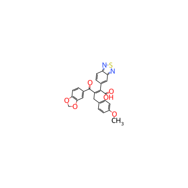 COc1ccc(C/C(C(=O)c2ccc3c(c2)OCO3)=C(\C(=O)O)c2ccc3nsnc3c2)cc1